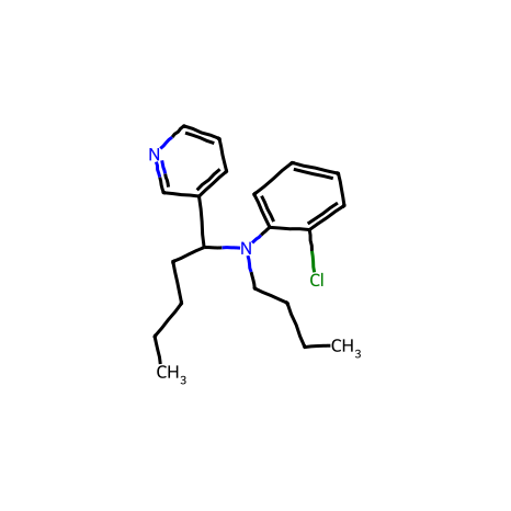 CCCCC(c1cccnc1)N(CCCC)c1ccccc1Cl